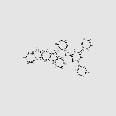 c1ccc(-c2cc(-c3ccccc3)nc(N3c4ccccc4-n4c5cc6oc7ccccc7c6cc5c5cccc3c54)n2)cc1